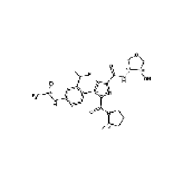 CC[C@H](Nc1cc(C(F)F)c(-c2sc(C(=O)N[C@@H]3COC[C@@H]3O)nc2C(=O)N2CCC[C@@H]2C)cn1)C(F)(F)F